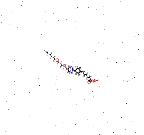 CCCCCCOCCCCOc1cnc(-c2ccc(CCCCCC(=O)O)cc2)nc1